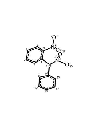 O=[N+]([O-])c1ccccc1N(c1ccccc1)[N+](=O)[O-]